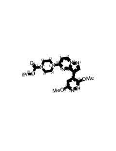 COc1cc(-c2cnn3ccc(N4CCN(C(=O)OC(C)C)CC4)nc23)c(OC)nn1